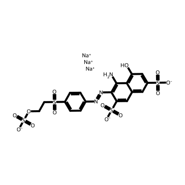 Nc1c(N=Nc2ccc(S(=O)(=O)CCOS(=O)(=O)[O-])cc2)c(S(=O)(=O)[O-])cc2cc(S(=O)(=O)[O-])cc(O)c12.[Na+].[Na+].[Na+]